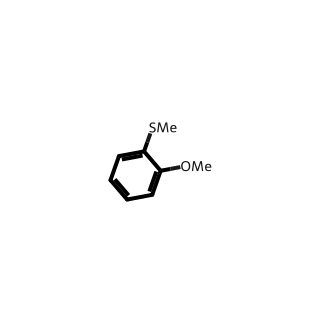 COc1ccccc1SC